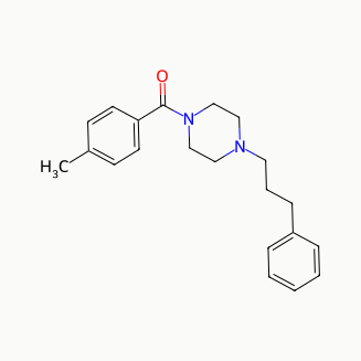 Cc1ccc(C(=O)N2CCN(CCCc3ccccc3)CC2)cc1